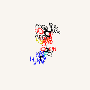 CC[C@@]1(F)[C@H](O)[C@@H](COP(=O)(S)OP(=O)(O)OC2OC([C@H](COC(C)=O)OC(C)=O)C(OC(C)=O)C(O)C2OC(C)=O)O[C@H]1n1cnc2c(N)ncnc21